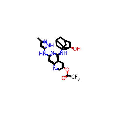 Cc1cc(Nc2cc3ncc(OC(=O)C(F)(F)F)cc3c(NC34CC5CC(CC(O)(C5)C3)C4)n2)[nH]n1